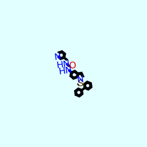 C=S(c1ccccc1-c1ccccc1)n1ccc2cc(NC(=O)NCc3cccnc3)ccc21